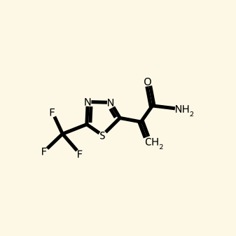 C=C(C(N)=O)c1nnc(C(F)(F)F)s1